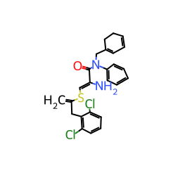 C=C(Cc1c(Cl)cccc1Cl)S/C=C(\N)C(=O)N(CC1=CC=CCC1)c1ccccc1